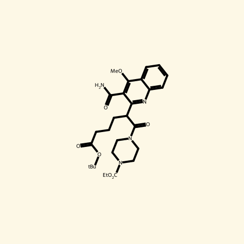 CCOC(=O)N1CCN(C(=O)C(CCCC(=O)OC(C)(C)C)c2nc3ccccc3c(OC)c2C(N)=O)CC1